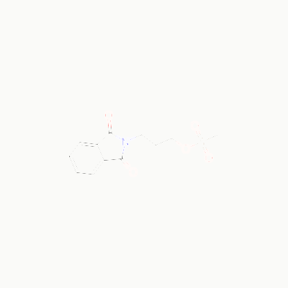 CS(=O)(=O)OCCCN1C(=O)c2ccccc2C1=O